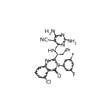 CC(C)C[C@H](Nc1nc(N)nc(N)c1C#N)c1nc2cccc(Cl)c2c(=O)n1-c1cc(F)cc(F)c1